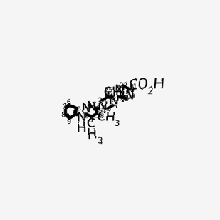 Cc1c(Nc2ccccc2)nnc(N2CCN(c3cnc(C(=O)O)cn3)[C@H](C)C2)c1C